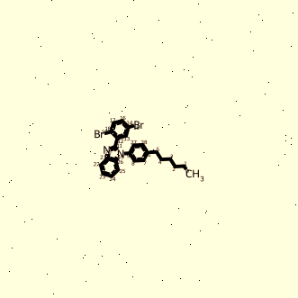 CCCCCCc1ccc(-n2c(-c3cc(Br)ccc3Br)nc3ccccc32)cc1